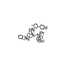 Cc1ccc(-c2ccc(F)cc2)cc1NCC(=O)N(CCN(C(=O)OC(C)(C)C)C(C)C)CC(=O)N(C)N1Cc2ccccc2C1